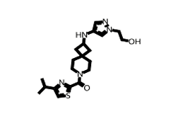 CC(C)c1csc(C(=O)N2CCC3(CC2)CC(Nc2cnn(CCO)c2)C3)n1